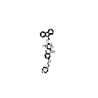 O=C(N[C@@H](Cc1ccc(OCCN2CCOCC2)cc1)C(=O)O)OCC1c2ccccc2-c2ccccc21